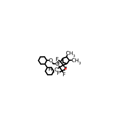 CC1C(C)C2CC1C(F)(F)C2(F)C(C)(OCOC1CCCCC1C1CCCCC1)C(F)(F)F